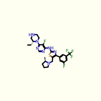 CC[C@@H]1CNCCN1c1ncnc(Nc2nc(-c3cc(F)cc(C(F)(F)F)c3)c(CN3CCC[C@H]3C)s2)c1F